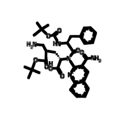 CC(C)(C)OC(=O)N[C@@H](Cc1ccccc1)C(=O)N(c1nc2ccccc2cc1C(N)=O)[C@@H](CC(CN)C(=O)OC(C)(C)C)C(=O)O